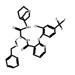 O=C(N[C@H](COCc1ccccc1)C(=O)NC1CN2CCC1CC2)c1cccnc1Oc1ccc(C(F)(F)F)cc1Cl